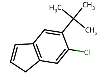 CC(C)(C)c1cc2c(cc1Cl)CC=C2